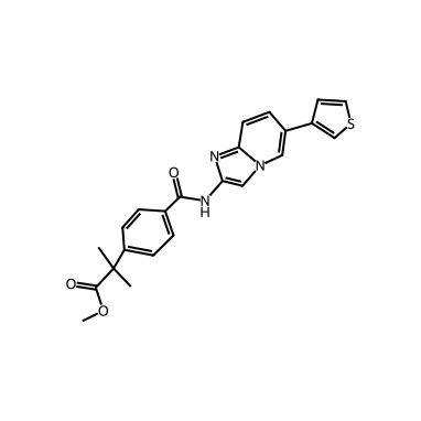 COC(=O)C(C)(C)c1ccc(C(=O)Nc2cn3cc(-c4ccsc4)ccc3n2)cc1